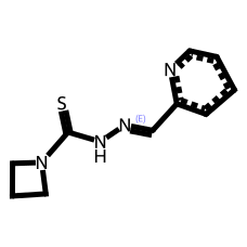 S=C(N/N=C/c1ccccn1)N1CCC1